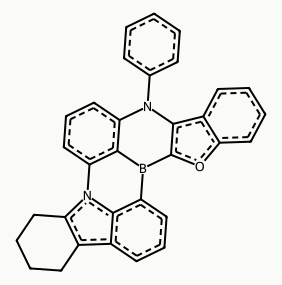 c1ccc(N2c3cccc4c3B(c3oc5ccccc5c32)c2cccc3c5c(n-4c23)CCCC5)cc1